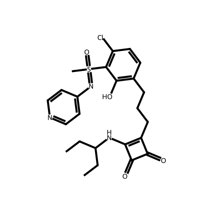 CCC(CC)Nc1c(CCCc2ccc(Cl)c(S(C)(=O)=Nc3ccncc3)c2O)c(=O)c1=O